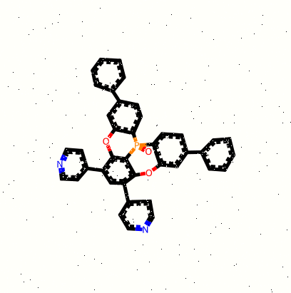 O=P12c3ccc(-c4ccccc4)cc3Oc3c(-c4ccncc4)cc(-c4ccncc4)c(c31)Oc1cc(-c3ccccc3)ccc12